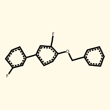 Fc1cccc(-c2ccc(OCc3ccccc3)c(F)c2)c1